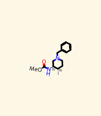 COC(=O)N[C@@H]1CN(Cc2ccccc2)CC[C@@H]1C